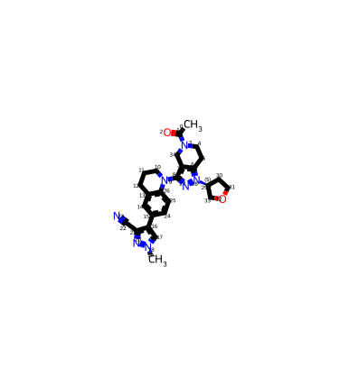 CC(=O)N1CCc2c(c(N3CCCc4cc(-c5cn(C)nc5C#N)ccc43)nn2[C@H]2CCOC2)C1